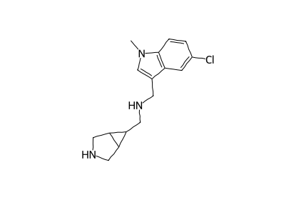 Cn1cc(CNCC2C3CNCC23)c2cc(Cl)ccc21